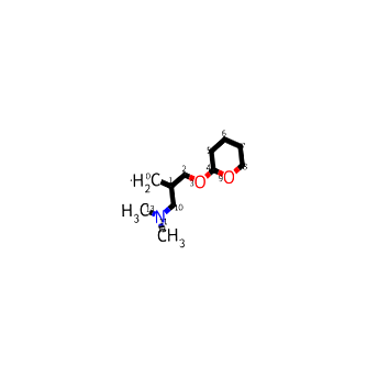 [CH2]C(COC1CCCCO1)CN(C)C